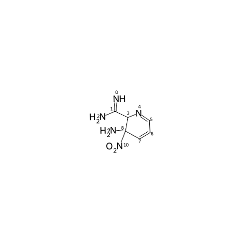 N=C(N)C1N=CC=CC1(N)[N+](=O)[O-]